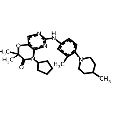 Cc1cc(Nc2ncc3c(n2)N(C2CCCC2)C(=O)C(C)(C)O3)ccc1N1CCC(C)CC1